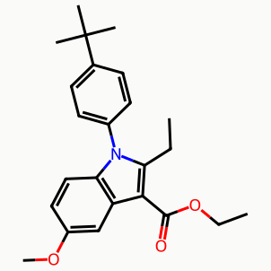 CCOC(=O)c1c(CC)n(-c2ccc(C(C)(C)C)cc2)c2ccc(OC)cc12